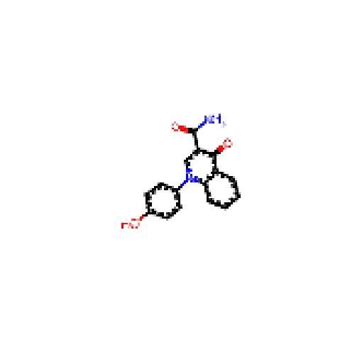 NC(=O)c1cn(-c2ccc(O)cc2)c2ccccc2c1=O